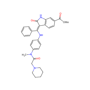 COC(=O)c1ccc2c(c1)NC(=O)C2=C(Nc1ccc(N(C)C(=O)CN2CCCCC2)cc1)c1ccccc1